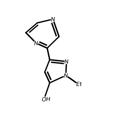 CCn1nc(-c2cnccn2)cc1O